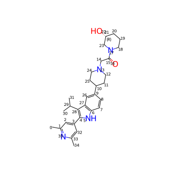 Cc1cc(-c2[nH]c3ccc(C4CCN(CC(=O)N5CCC[C@@H](O)C5)CC4)cc3c2C(C)C)cc(C)n1